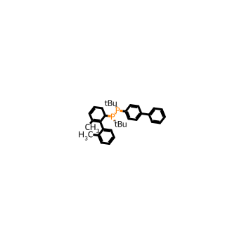 CC1=C(c2ccccc2C)[C](P(P(c2ccc(-c3ccccc3)cc2)C(C)(C)C)C(C)(C)C)CC=C1